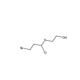 OCCOC(Cl)CCBr